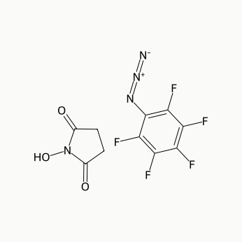 O=C1CCC(=O)N1O.[N-]=[N+]=Nc1c(F)c(F)c(F)c(F)c1F